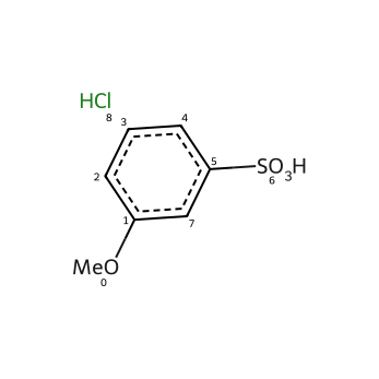 COc1cccc(S(=O)(=O)O)c1.Cl